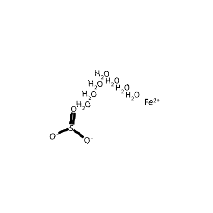 O.O.O.O.O.O.O.O=S([O-])[O-].[Fe+2]